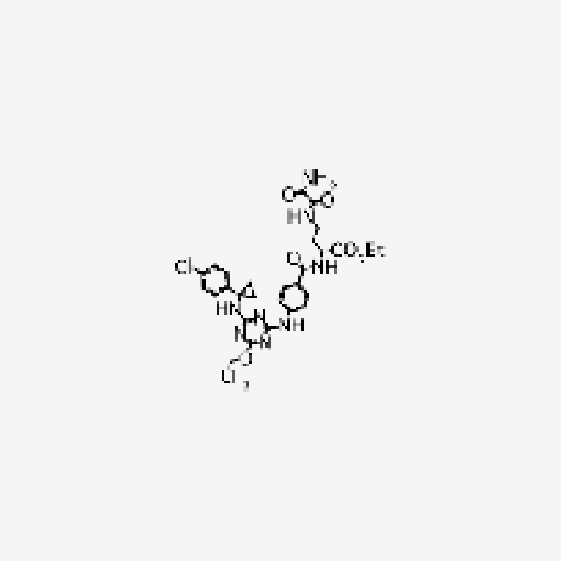 CCOC(=O)[C@H](CCNC(=O)C(N)=O)NC(=O)c1ccc(Nc2nc(NC3(c4ccc(Cl)cc4)CC3)nc(OCC(F)(F)F)n2)cc1